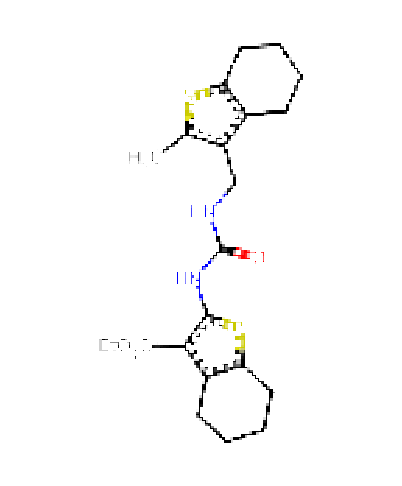 CCOC(=O)c1c(NC(=O)NCc2c(C)sc3c2CCCC3)sc2c1CCCC2